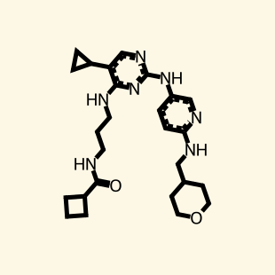 O=C(NCCCNc1nc(Nc2ccc(NCC3CCOCC3)nc2)ncc1C1CC1)C1CCC1